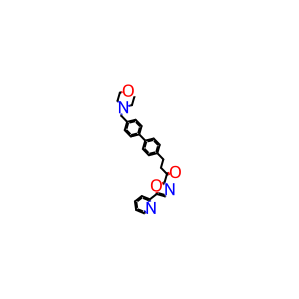 O=C(CCc1ccc(-c2ccc(CN3CCOCC3)cc2)cc1)c1ncc(-c2ccccn2)o1